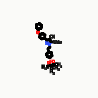 CNc1c(C#N)c(-c2ccc(Oc3ccccc3)cc2)nn1CCc1ccc(B2OC(C)(C)C(C)(C)O2)cc1